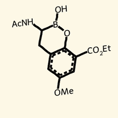 CCOC(=O)c1cc(OC)cc2c1OB(O)C(NC(C)=O)C2